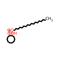 CCCCCCCCCCCCCCCCCCOP(=O)(O)OC1CCCCCCCCC1